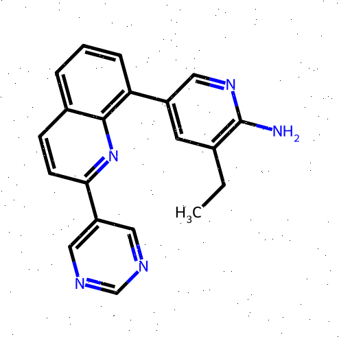 CCc1cc(-c2cccc3ccc(-c4cncnc4)nc23)cnc1N